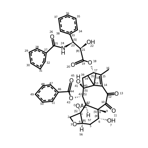 CC(=O)O[C@@]12CO[C@@H]1C[C@@H](O)[C@@]1(C)C(=O)C(=O)C3=C(C)[C@@H](OC(=O)[C@H](O)[C@@H](NC(=O)c4ccccc4)c4ccccc4)C[C@@](O)([C@@H](OC(=O)c4ccccc4)[C@H]21)C3(C)C